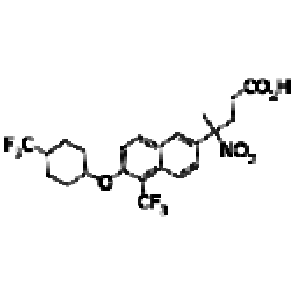 CC(CCC(=O)O)(c1ccc2c(C(F)(F)F)c(OC3CCC(C(F)(F)F)CC3)ccc2c1)[N+](=O)[O-]